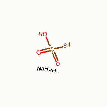 B.O=S(=O)(O)S.[NaH]